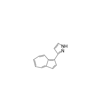 c1ccc2ccc(-c3cc[nH]n3)c-2cc1